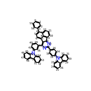 c1ccc(-c2ccc3c4c(cccc24)-c2nc(-c4ccc(-n5c6ccccc6c6ccccc65)cc4)nc(-c4cccc(-n5c6ccccc6c6ccccc65)c4)c2-3)cc1